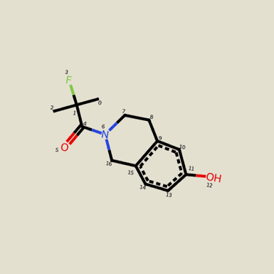 CC(C)(F)C(=O)N1CCc2cc(O)ccc2C1